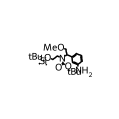 COCC(c1cccc(N)c1)N(CCO[Si](C)(C)C(C)(C)C)C(=O)OC(C)(C)C